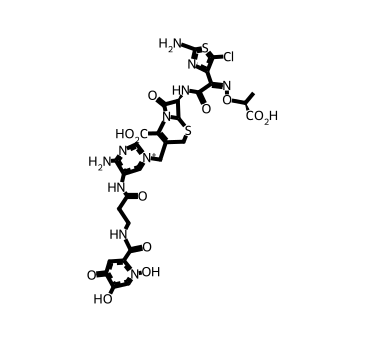 C[C@H](O/N=C(\C(=O)N[C@@H]1C(=O)N2C(C(=O)O)=C(C[n+]3cnc(N)c(NC(=O)CCNC(=O)c4cc(=O)c(O)cn4O)c3)CSC12)c1nc(N)sc1Cl)C(=O)O